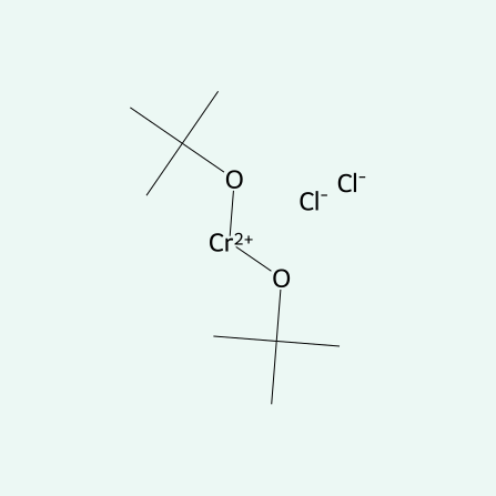 CC(C)(C)[O][Cr+2][O]C(C)(C)C.[Cl-].[Cl-]